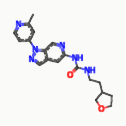 Cc1cc(-n2ncc3cc(NC(=O)NCCC4CCOC4)ncc32)ccn1